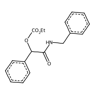 CCOC(=O)OC(C(=O)NCc1ccccc1)c1ccccc1